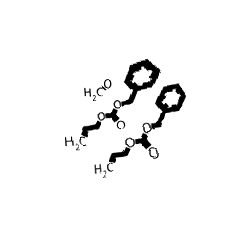 C=CCOC(=O)OCc1ccccc1.C=CCOC(=O)OCc1ccccc1.C=O